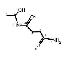 CC(O)NC(=O)CCC(N)=O